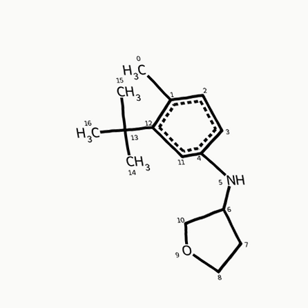 Cc1ccc(NC2CCOC2)cc1C(C)(C)C